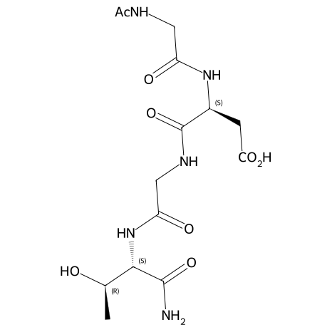 CC(=O)NCC(=O)N[C@@H](CC(=O)O)C(=O)NCC(=O)N[C@H](C(N)=O)[C@@H](C)O